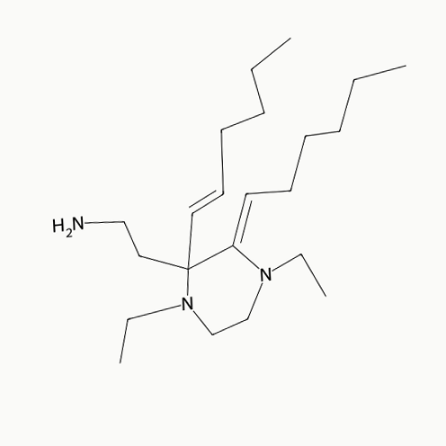 CCCCC=CC1(CCN)C(=CCCCCC)N(CC)CCN1CC